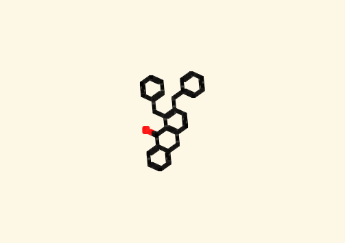 O=C1c2ccccc2Cc2ccc(Cc3ccccc3)c(Cc3ccccc3)c21